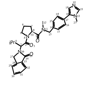 CC(C)C(C(=O)N1CCC[C@H]1C(=O)N(I)Cc1ccc(-c2cncn2C)cc1)N1Cc2ccccc2C1=O